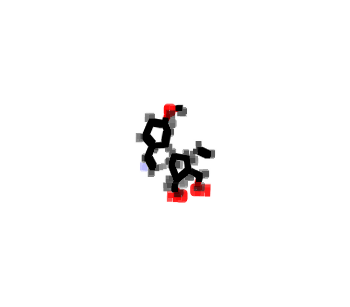 C=C[C@H]1C[C@@H](/C=C\c2ccc(OC)cc2)[C@H](CO)[C@@H]1CO